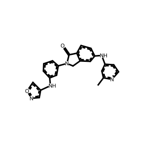 Cc1cc(Nc2ccc3c(c2)CN(c2cccc(Nc4cnoc4)c2)C3=O)ccn1